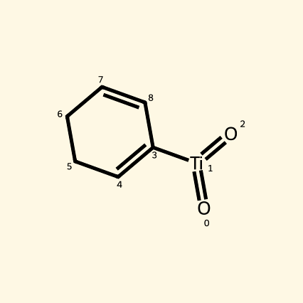 [O]=[Ti](=[O])[C]1=CCCC=C1